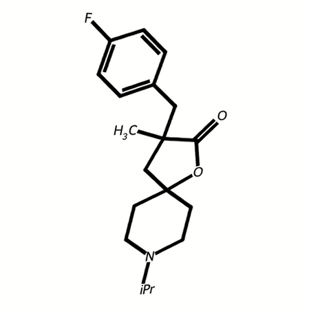 CC(C)N1CCC2(CC1)CC(C)(Cc1ccc(F)cc1)C(=O)O2